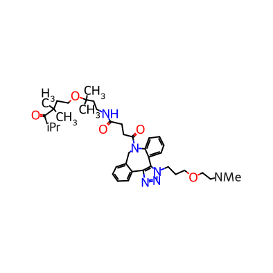 CNCCOCCCn1nnc2c1-c1ccccc1N(C(=O)CCC(=O)NCCC(C)(C)OCCC(C)(C)C(=O)C(C)C)Cc1ccccc1-2